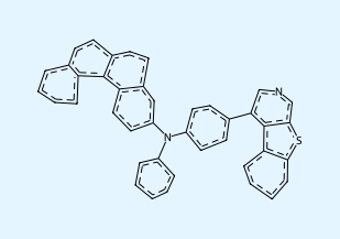 c1ccc(N(c2ccc(-c3cncc4sc5ccccc5c34)cc2)c2ccc3c(ccc4ccc5ccccc5c43)c2)cc1